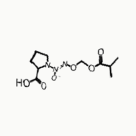 CC(C)C(=O)OCON=[N+]([O-])N1CCCC1C(=O)O